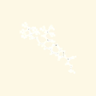 CCOC(=O)c1cc2ccc(CN(CCO[Si](C)(C)C(C)(C)C)C(=O)OC(C)(C)C)cc2o1